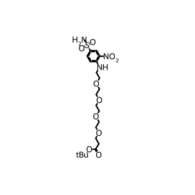 CC(C)(C)OC(=O)CCOCCOCCOCCOCCNc1ccc(S(N)(=O)=O)cc1[N+](=O)[O-]